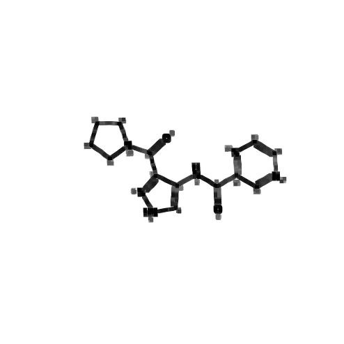 O=C(Nc1c[nH]nc1C(=O)N1CCCC1)c1cnccn1